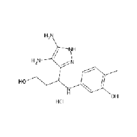 Cc1ccc(NC(CCO)c2n[nH]c(N)c2N)cc1O.Cl